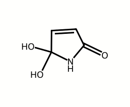 O=C1C=CC(O)(O)N1